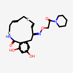 O=C1NCC/C=C/CC/C=C/C(=N\OCC(=O)N2CCCCC2)Cc2cc(O)cc(O)c21